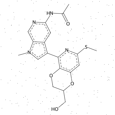 CSc1cc2c(c(-c3cn(C)c4cnc(NC(C)=O)cc34)n1)OCC(CO)O2